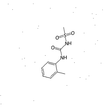 Cc1ccccc1NC(=O)NS(C)(=O)=O